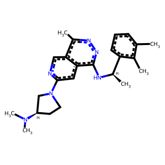 Cc1cccc([C@@H](C)Nc2nnc(C)c3cnc(N4CC[C@@H](N(C)C)C4)cc23)c1C